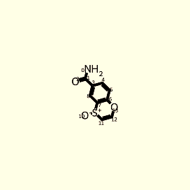 NC(=O)c1ccc2c(c1)[S+]([O-])C=CO2